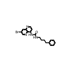 O=C(NCCCCc1ccccc1)Nc1ccnc2cc(Br)cnc12